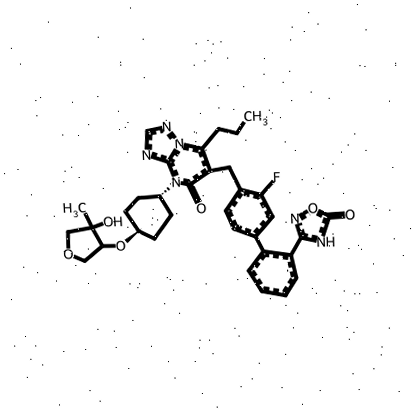 CCCc1c(Cc2ccc(-c3ccccc3-c3noc(=O)[nH]3)cc2F)c(=O)n([C@H]2CC[C@H](OC3COCC3(C)O)CC2)c2ncnn12